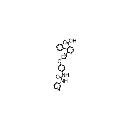 O=C(Nc1ccc(OC2CN(c3cccc(C(=O)O)c3-c3ccccc3)C2)cc1)Nc1cccnc1